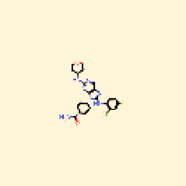 NC(=O)[C@H]1CC[C@H](n2c(Nc3ccc(F)cc3Cl)nc3cnc(NC4CCOCC4)nc32)CC1